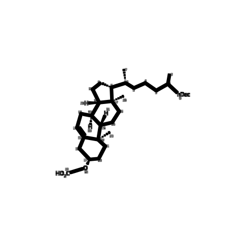 CCCCCCCCCCC(C)CCC[C@@H](C)[C@H]1CC[C@H]2[C@@H]3CC=C4C[C@@H](OC(=O)O)CC[C@]4(C)[C@H]3CC[C@]12C